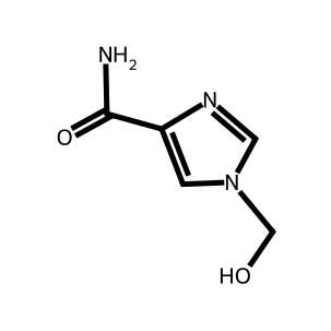 NC(=O)c1cn(CO)cn1